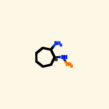 NC1CCCCC[C@H]1NP